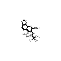 COc1nc2c3c(ccc2c(OC)c1C[C@@H](O)C(C)(C)O)OCO3